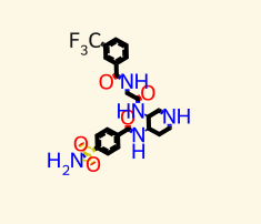 NS(=O)(=O)c1ccc(C(=O)N[C@H]2CCNC[C@H]2NC(=O)CNC(=O)c2cccc(C(F)(F)F)c2)cc1